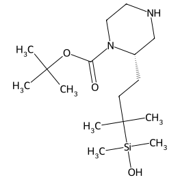 CC(C)(C)OC(=O)N1CCNC[C@@H]1CCC(C)(C)[Si](C)(C)O